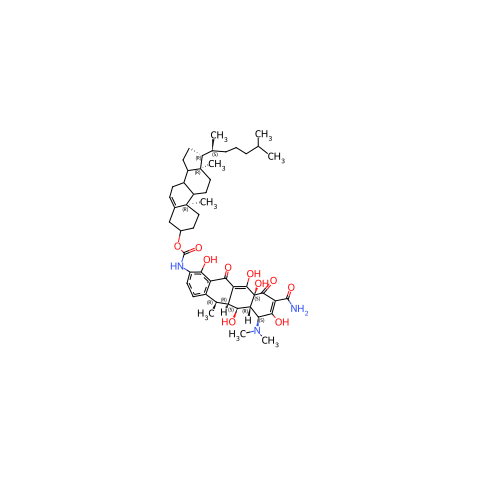 CC(C)CCC[C@H](C)[C@H]1CCC2C3CC=C4CC(OC(=O)Nc5ccc6c(c5O)C(=O)C5=C(O)[C@]7(O)C(=O)C(C(N)=O)=C(O)[C@@H](N(C)C)[C@@H]7[C@@H](O)[C@@H]5[C@H]6C)CC[C@]4(C)C3CC[C@@]21C